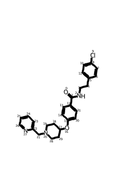 O=C(NCCc1ccc(Cl)cc1)c1ccc(OC2CCN(Cc3ccccn3)CC2)cc1